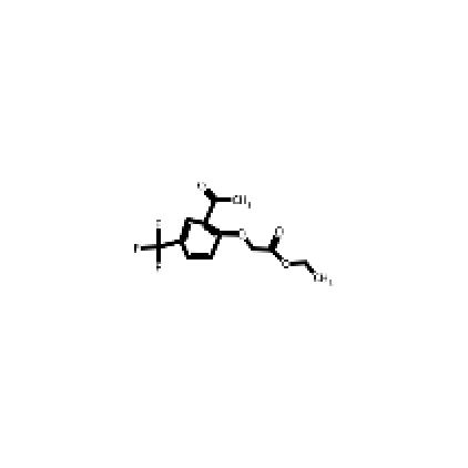 CCOC(=O)COc1ccc(C(F)(F)F)cc1C(C)=O